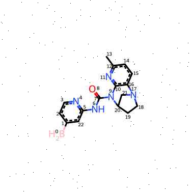 Bc1ccnc(NC(=O)N2c3nc(C)ccc3N3CCC2C3)c1